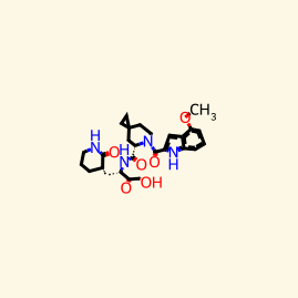 COc1cccc2[nH]c(C(=O)N3CCC4(CC4)C[C@H]3C(=O)N[C@@H](C[C@@H]3CCCNC3=O)C(=O)CO)cc12